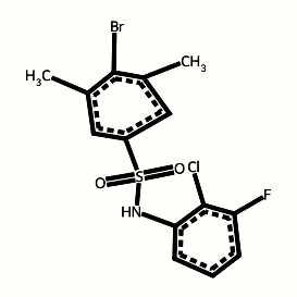 Cc1cc(S(=O)(=O)Nc2cccc(F)c2Cl)cc(C)c1Br